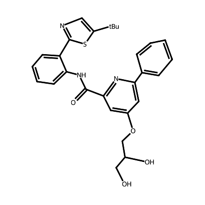 CC(C)(C)c1cnc(-c2ccccc2NC(=O)c2cc(OCC(O)CO)cc(-c3ccccc3)n2)s1